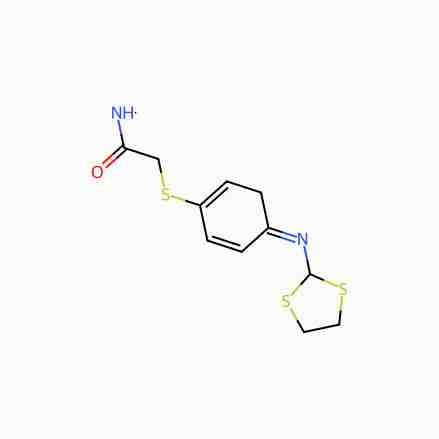 [NH]C(=O)CSC1=CCC(=NC2SCCS2)C=C1